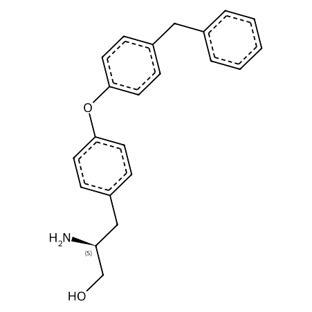 N[C@H](CO)Cc1ccc(Oc2ccc(Cc3ccccc3)cc2)cc1